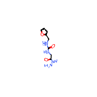 NNC(=O)CNC(=O)NCc1ccco1